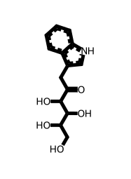 O=C(Cc1c[nH]c2ccccc12)C(O)C(O)C(O)CO